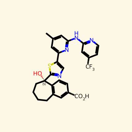 Cc1cc(Nc2cc(C(F)(F)F)ccn2)nc(-c2cnc([C@]3(O)CCCCc4cc(C(=O)O)ccc43)s2)c1